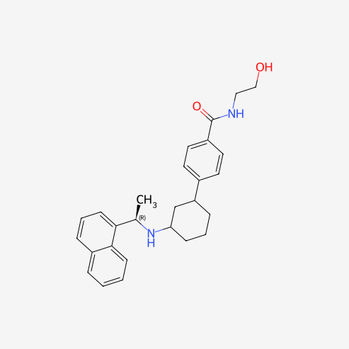 C[C@@H](NC1CCCC(c2ccc(C(=O)NCCO)cc2)C1)c1cccc2ccccc12